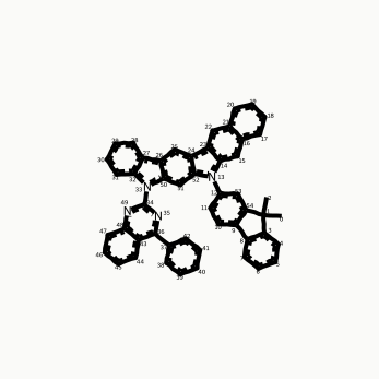 CC1(C)c2ccccc2-c2ccc(-n3c4cc5ccccc5cc4c4cc5c6ccccc6n(-c6nc(-c7ccccc7)c7ccccc7n6)c5cc43)cc21